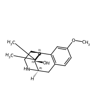 COc1ccc2c(c1)[C@]13CCN[C@H](C2)[C@]1(O)CC(C)(C)OC3